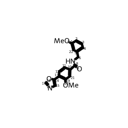 COc1cccc(CNC(=O)c2ccc(-c3cnco3)c(OC)c2)c1